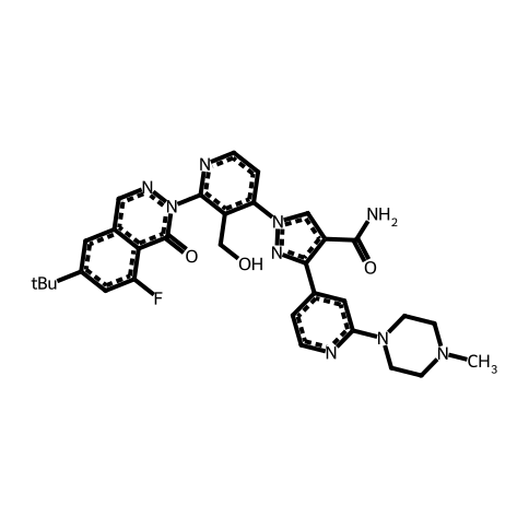 CN1CCN(c2cc(-c3nn(-c4ccnc(-n5ncc6cc(C(C)(C)C)cc(F)c6c5=O)c4CO)cc3C(N)=O)ccn2)CC1